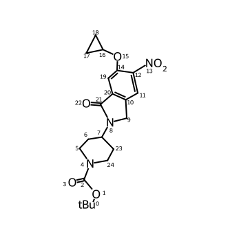 CC(C)(C)OC(=O)N1CCC(N2Cc3cc([N+](=O)[O-])c(OC4CC4)cc3C2=O)CC1